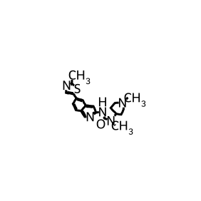 Cc1ncc(-c2ccc3cnc(NC(=O)N(C)C4CCN(C)CC4)cc3c2)s1